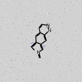 C=N/C=c1/cc2nnccc2c/c1=C/C